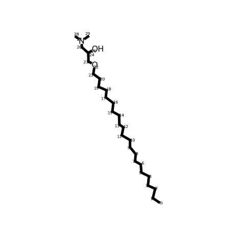 CCCCCCCCCCCCCCCCCCCCCCOCC(O)CN(C)C